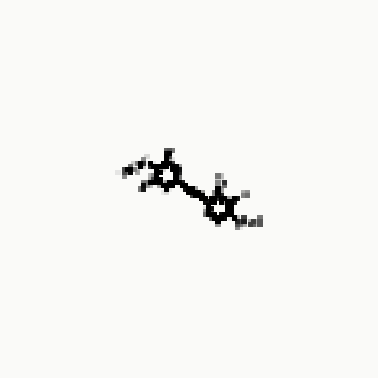 CCCCCc1ccc(C#Cc2cc(C)c(N=C=S)c(F)c2)c(CC)c1F